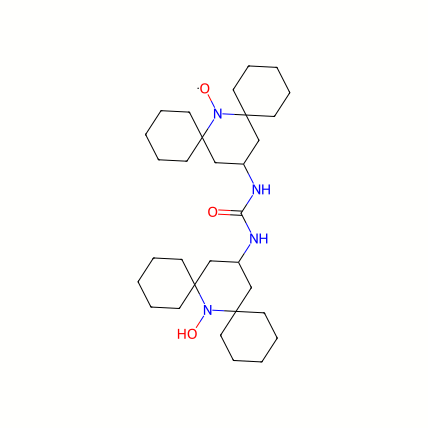 [O]N1C2(CCCCC2)CC(NC(=O)NC2CC3(CCCCC3)N(O)C3(CCCCC3)C2)CC12CCCCC2